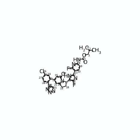 C=C(C)COC(=O)Nc1ccc(-c2nc(F)c([C@H]3CCc4cc(-c5cc(Cl)ccc5-n5cnnn5)cc(=O)n43)[nH]2)c(F)n1